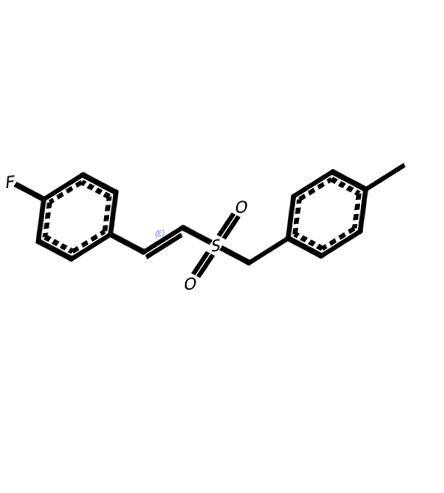 Cc1ccc(CS(=O)(=O)/C=C/c2ccc(F)cc2)cc1